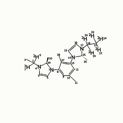 [2H]C([2H])(C)N1C=CN(c2cc(C)cc(N3C=CN(C([2H])([2H])C([2H])([2H])[2H])[C@@H]3C)c2C)[C@@H]1C